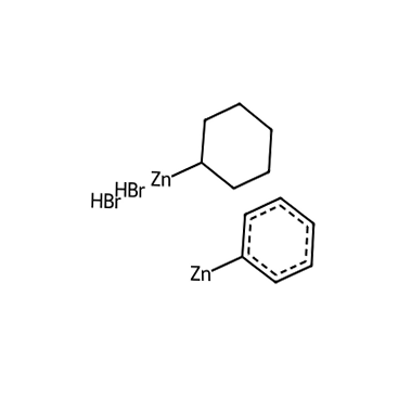 Br.Br.[Zn][CH]1CCCCC1.[Zn][c]1ccccc1